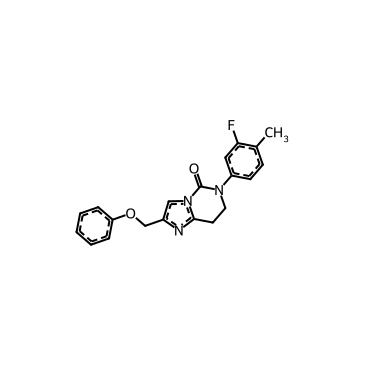 Cc1ccc(N2CCc3nc(COc4ccccc4)cn3C2=O)cc1F